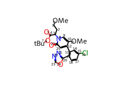 COCCC(C(=O)OC(C)(C)C)n1cc(OC)c(-c2cc(Cl)ccc2-c2nnco2)cc1=O